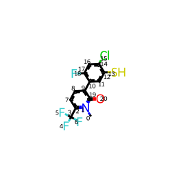 Cn1c(C(F)(F)F)ccc(-c2cc(S)c(Cl)cc2F)c1=O